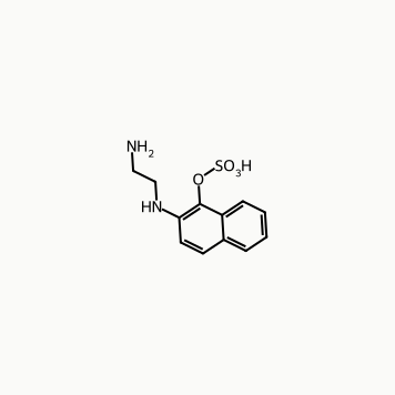 NCCNc1ccc2ccccc2c1OS(=O)(=O)O